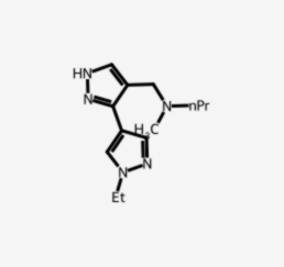 CCCN(C)Cc1c[nH]nc1-c1cnn(CC)c1